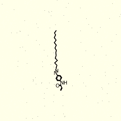 C=CC(=O)Nc1ccc(N=NCCCCCCCCCCCCCCCC)cc1